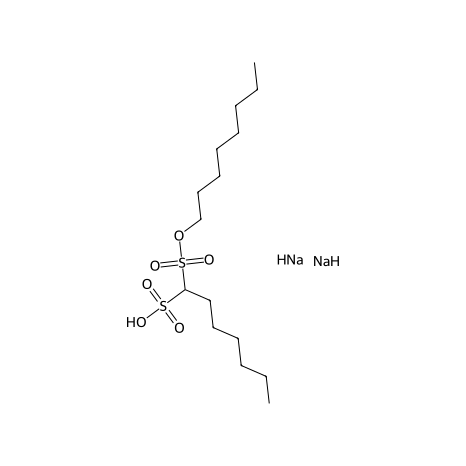 CCCCCCCCOS(=O)(=O)C(CCCCCC)S(=O)(=O)O.[NaH].[NaH]